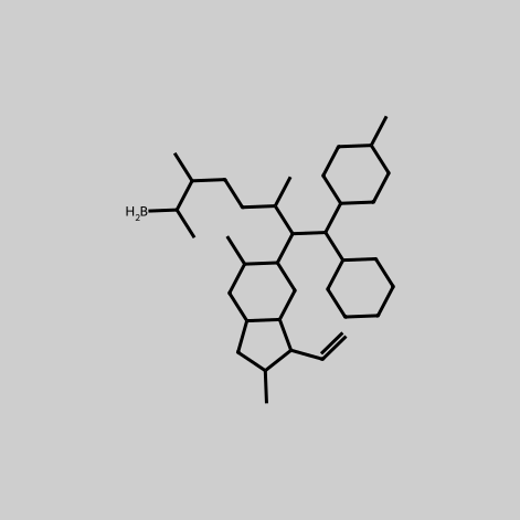 BC(C)C(C)CCC(C)C(C1CC2C(CC(C)C2C=C)CC1C)C(C1CCCCC1)C1CCC(C)CC1